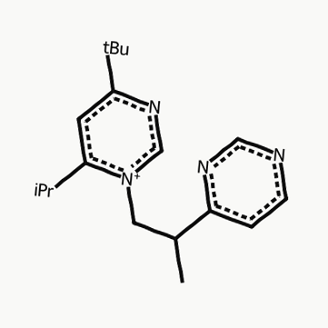 CC(C)c1cc(C(C)(C)C)nc[n+]1CC(C)c1ccncn1